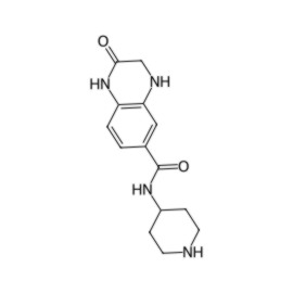 O=C1CNc2cc(C(=O)NC3CCNCC3)ccc2N1